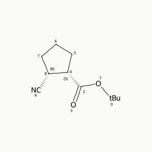 CC(C)(C)OC(=O)[C@H]1CCC[C@H]1C#N